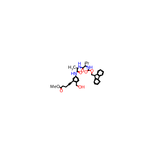 COC(=O)CCC#Cc1cc(NC(=O)[C@H](C)NC(=O)[C@@H](NC(=O)OCC2c3ccccc3-c3ccccc32)C(C)C)ccc1CO